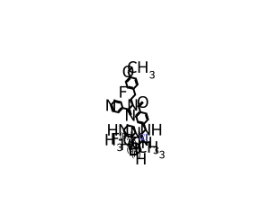 COc1ccc(CCn2c(-c3ccncc3)nc3cc(N/C(=N/C4C[C@H]5C[C@@H]([C@@H]4C)C5(C)C)N4CCN[C@@H](CF)C4)ccc3c2=O)c(F)c1